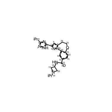 CC(C)c1n[nH]c(-c2cc3n(n2)-c2cc(C(=O)NC4CN(C(C)C)C4)ccc2OCC3)n1